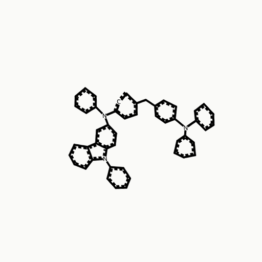 c1ccc(N(c2ccccc2)c2ccc(Cc3ccc(N(c4ccccc4)c4ccc5c(c4)c4ccccc4n5-c4ccccc4)cc3)cc2)cc1